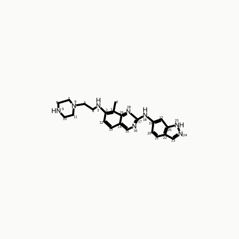 Cc1c(NCCN2CCNCC2)ccc2cnc(Nc3ccc4cn[nH]c4c3)nc12